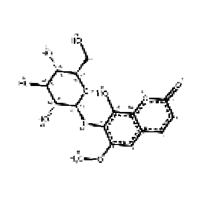 COc1cc2ccc(=O)oc2c(O)c1O[C@@H]1O[C@H](CO)[C@@H](O)[C@H](O)[C@H]1O